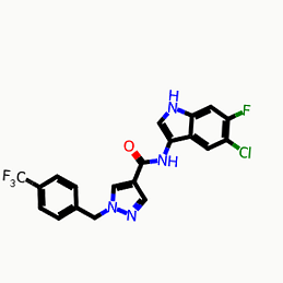 O=C(Nc1c[nH]c2cc(F)c(Cl)cc12)c1cnn(Cc2ccc(C(F)(F)F)cc2)c1